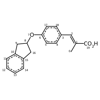 CC(=Cc1ccc(OC2Cc3ccccc3C2)cc1)C(=O)O